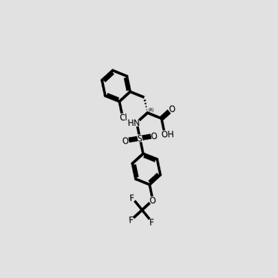 O=C(O)[C@@H](Cc1ccccc1Cl)NS(=O)(=O)c1ccc(OC(F)(F)F)cc1